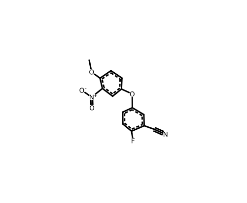 COc1ccc(Oc2ccc(F)c(C#N)c2)cc1[N+](=O)[O-]